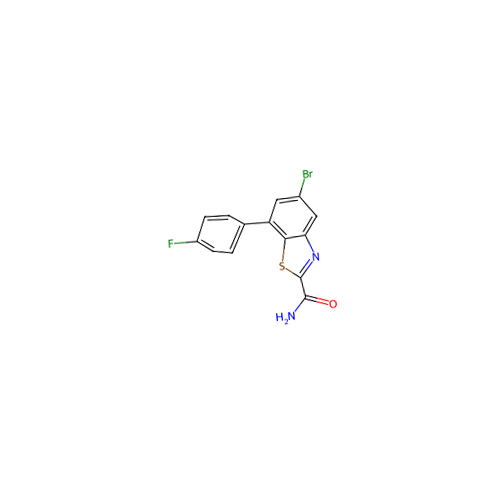 NC(=O)c1nc2cc(Br)cc(-c3ccc(F)cc3)c2s1